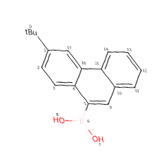 CC(C)(C)c1ccc2c(B(O)O)cc3ccccc3c2c1